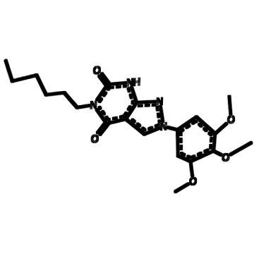 CCCCCCn1c(=O)[nH]c2nn(-c3cc(OC)c(OC)c(OC)c3)cc2c1=O